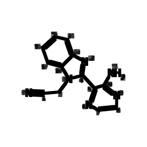 N#CCn1c(-c2nccnc2N)nc2ccccc21